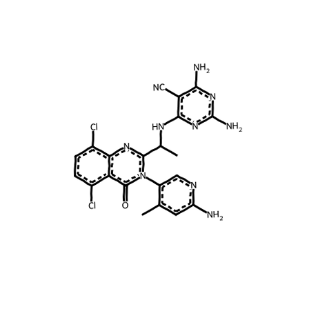 Cc1cc(N)ncc1-n1c(C(C)Nc2nc(N)nc(N)c2C#N)nc2c(Cl)ccc(Cl)c2c1=O